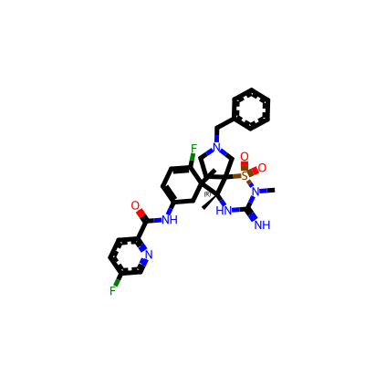 CN1C(=N)N[C@](C)(C2(C)CC(NC(=O)c3ccc(F)cn3)=CC=C2F)C2(CCN(Cc3ccccc3)C2)S1(=O)=O